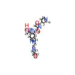 Cc1cc(-c2nc(C(=O)Nc3cc4cn(CCN5CC6(COC6)C5)nc4cc3C(C)(C)O)co2)ccn1